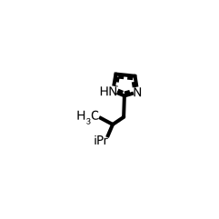 CC(C)C(C)Cc1ncc[nH]1